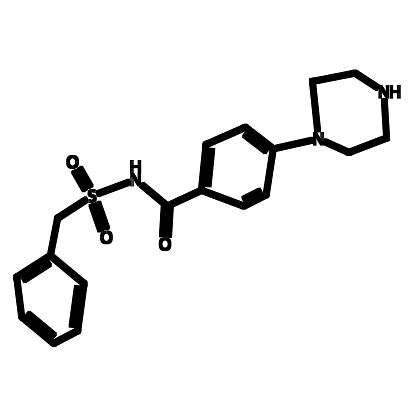 O=C(NS(=O)(=O)Cc1ccccc1)c1ccc(N2CCNCC2)cc1